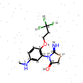 CNc1ccc(OCCC(F)(F)F)c(N2C(=N)SCC2=O)c1